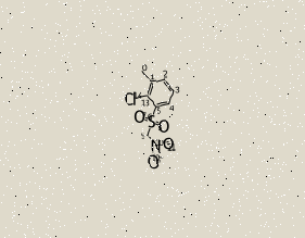 Cc1cccc(S(=O)(=O)C[N+](=O)[O-])c1Cl